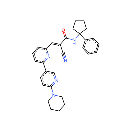 N#C/C(=C\c1cccc(-c2ccc(N3CCCCC3)nc2)n1)C(=O)NC1(c2ccccc2)CCCC1